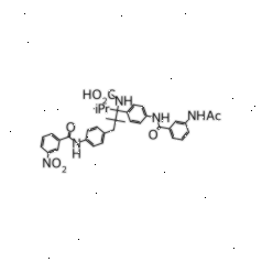 C[C](C)C(NC(=O)O)(c1ccc(NC(=O)c2cccc(NC(C)=O)c2)cc1)C(C)(C)Cc1ccc(NC(=O)c2cccc([N+](=O)[O-])c2)cc1